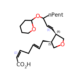 CCCCCC(/C=C/[C@H]1COC[C@H]1CC=CC/C=C\C(=O)O)OC1CCCCO1